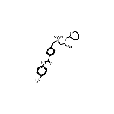 CC(C)(C)C(CN(Cc1ccc(C(=O)Nc2ccc(N)cc2)cc1)C(=O)O)OC1CCCCO1